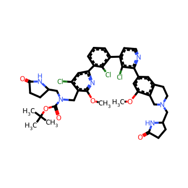 COc1cc(-c2nccc(-c3cccc(-c4cc(Cl)c(CN(CC5CCC(=O)N5)C(=O)OC(C)(C)C)c(OC)n4)c3Cl)c2Cl)cc2c1CN(CC1CCC(=O)N1)CC2